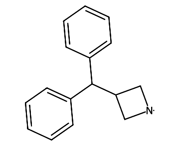 c1ccc(C(c2ccccc2)C2C[N]C2)cc1